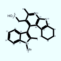 CCCn1c(C)c(-c2c(CC(=O)O)c(C)nc3sc4c(c23)CCCC4)c2ccccc21